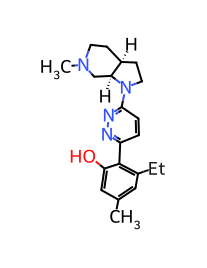 CCc1cc(C)cc(O)c1-c1ccc(N2CC[C@@H]3CCN(C)C[C@@H]32)nn1